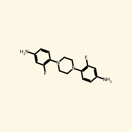 Nc1ccc(N2CCN(c3ccc(N)cc3F)CC2)c(F)c1